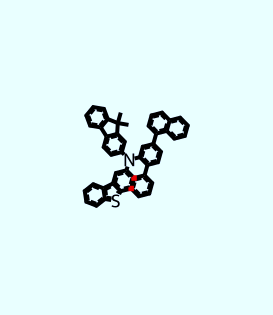 CC1(C)c2ccccc2-c2ccc(N(c3ccc4sc5ccccc5c4c3)c3cc(-c4cccc5ccccc45)ccc3-c3ccccc3)cc21